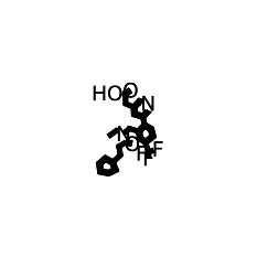 CCN(Cc1cc(C(F)(F)F)ccc1-c1cncc(CC(=O)O)c1)C(=O)CCc1ccccc1